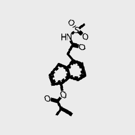 C=C(C)C(=O)Oc1cccc2c(CC(=O)NS(C)(=O)=O)cccc12